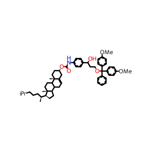 COc1ccc(C(OCCC(O)c2ccc(NC(=O)O[C@@H]3CC[C@]4(C)C(=CCC5C4CC[C@]4(C)C5CC[C@H]4[C@@H](C)CCCC(C)C)C3)cc2)(c2ccccc2)c2ccc(OC)cc2)cc1